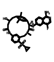 Cc1cc2cc(C)c1CC(O)CC(=O)Nc1ccc(S(=O)(=O)C3CC3)c(c1)CN(C)C(=O)[C@@H]2Nc1ccc2c(N)ncc(F)c2c1